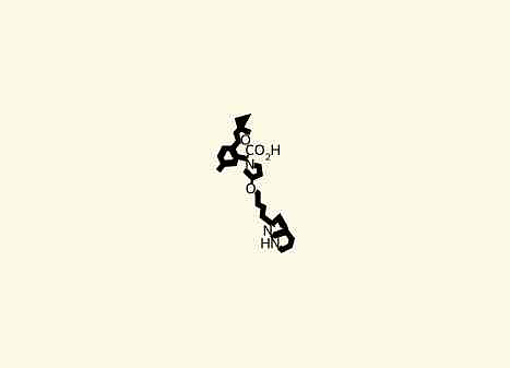 Cc1ccc(C2CC3(CC3)CO2)c([C@H](C(=O)O)N2CC[C@@H](OCCCCc3ccc4c(n3)NCCC4)C2)c1